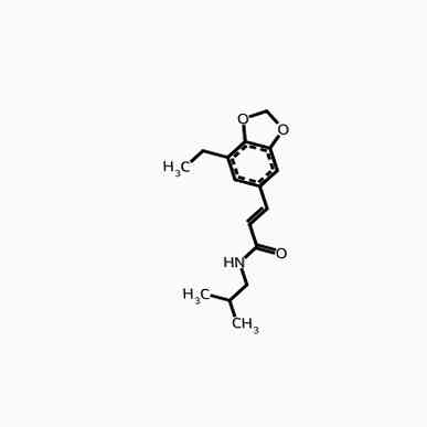 CCc1cc(/C=C/C(=O)NCC(C)C)cc2c1OCO2